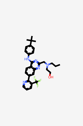 CCCN(CCO)Cc1nc(Nc2ccc(C(C)(C)C)cc2)c2ccc(-c3ncccc3C(F)(F)F)cc2n1